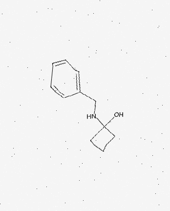 OC1(NCc2ccccc2)CCC1